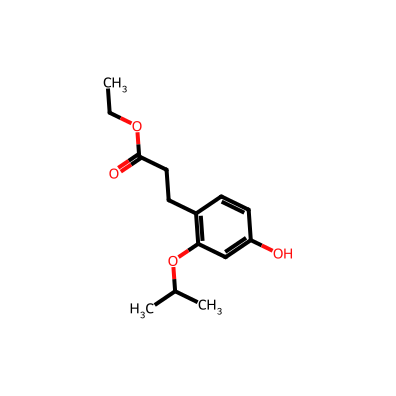 CCOC(=O)CCc1ccc(O)cc1OC(C)C